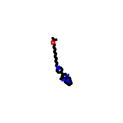 CC(C)OCCCCCCCCCCN1CCC(c2cnc(N3C4CCC3CN(C(C)C)CC4)nc2)CC1